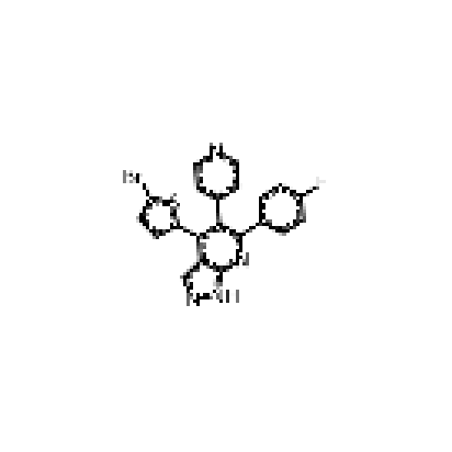 Fc1ccc(-c2nc3[nH]ncc3c(-c3ccc(Br)s3)c2-c2ccncc2)cc1